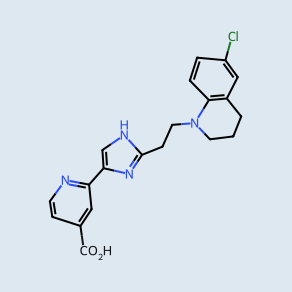 O=C(O)c1ccnc(-c2c[nH]c(CCN3CCCc4cc(Cl)ccc43)n2)c1